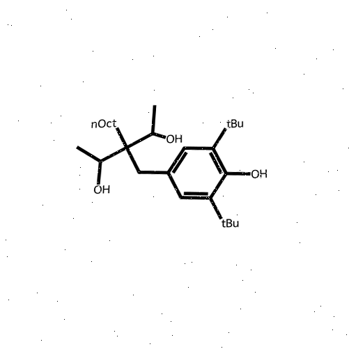 CCCCCCCCC(Cc1cc(C(C)(C)C)c(O)c(C(C)(C)C)c1)(C(C)O)C(C)O